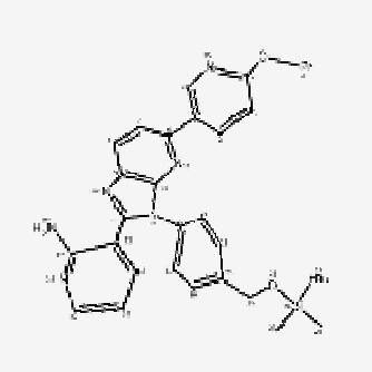 CC(C)Oc1ccc(-c2ccc3nc(-c4cccnc4N)n(-c4ccc(CO[Si](C)(C)C(C)(C)C)cc4)c3n2)cn1